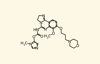 COc1c(OCCCN2CCOCC2)ccc2c1N=C(NC(=O)Oc1cncn1C)N1CCN=C21